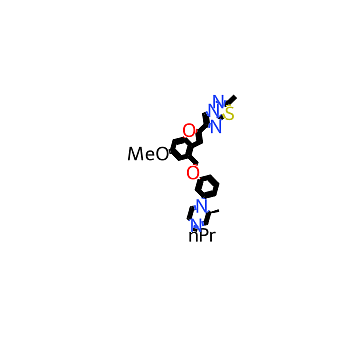 CCCN1CCN(c2cccc(OCc3cc(OC)cc4oc(-c5cn6nc(C)sc6n5)cc34)c2)[C@@H](C)C1